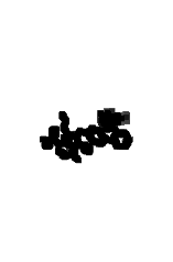 CCCc1c(Cc2ccc(-c3ccccc3-c3nnn[nH]3)cc2)c(=O)n2n1C(C(=O)OC)C=CC2C